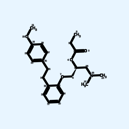 CCC(=O)O[C@@H](COc1ccccc1CCc1ccc(OC)cc1)CN(C)C